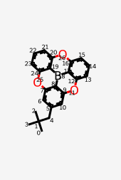 CC(C)(C)Cc1cc2c3c(c1)Oc1cccc4c1B3c1c(cccc1O2)O4